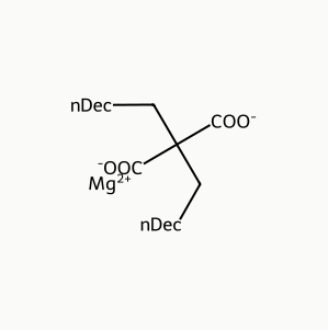 CCCCCCCCCCCC(CCCCCCCCCCC)(C(=O)[O-])C(=O)[O-].[Mg+2]